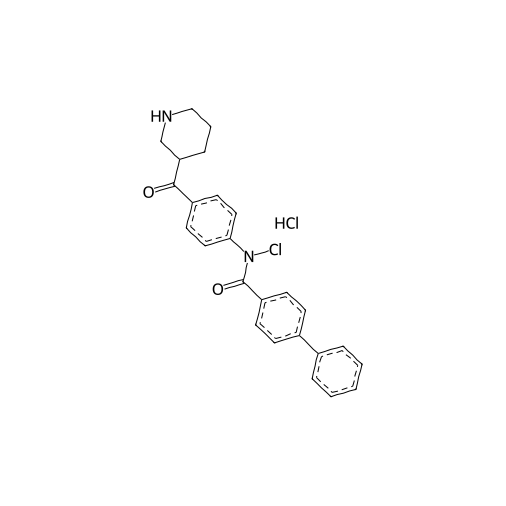 Cl.O=C(c1ccc(N(Cl)C(=O)c2ccc(-c3ccccc3)cc2)cc1)C1CCCNC1